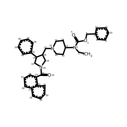 CCN(C(=O)OCc1ccccc1)C1CCN(CC2CN(C(=O)c3cccc4ccccc34)CC2c2ccccc2)CC1